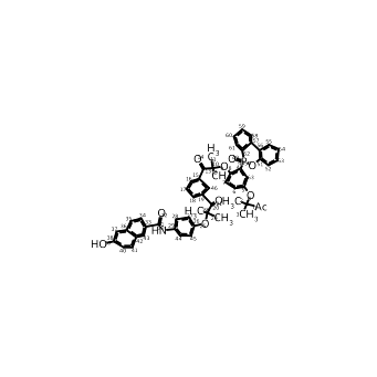 CC(=O)C(C)(C)Oc1ccc(OC(C)(C)C(=O)c2cccc(C(=O)C(C)(C)Oc3ccc(NC(=O)c4ccc5cc(O)ccc5c4)cc3)c2)c(P2(=O)Oc3ccccc3-c3ccccc32)c1